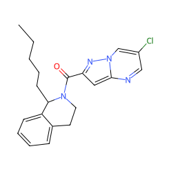 CCCCCC1c2ccccc2CCN1C(=O)c1cc2ncc(Cl)cn2n1